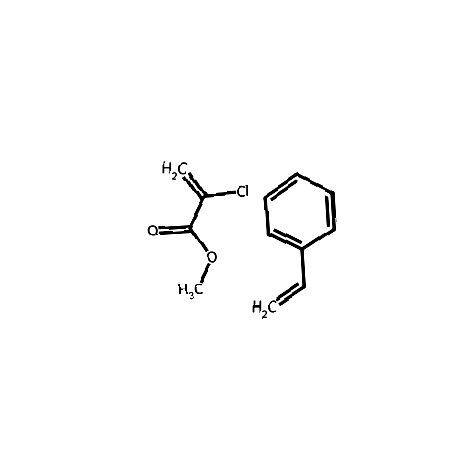 C=C(Cl)C(=O)OC.C=Cc1ccccc1